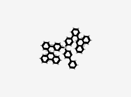 c1ccc(-c2ccc(N(c3ccc(-c4ccccc4-c4cc5ccccc5c5ccccc45)cc3)c3ccc(-c4ccccc4-c4cc5ccccc5c5ccccc45)cc3)cc2)cc1